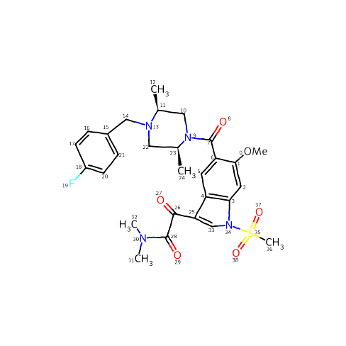 COc1cc2c(cc1C(=O)N1C[C@H](C)N(Cc3ccc(F)cc3)C[C@@H]1C)c(C(=O)C(=O)N(C)C)cn2S(C)(=O)=O